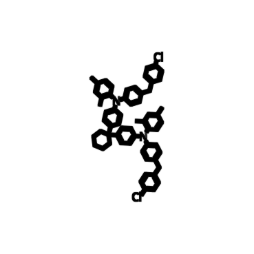 Cc1ccc(N(c2ccc(Cc3ccc(Cl)cc3)cc2)c2ccc(C3(c4ccc(N(c5ccc(Cc6ccc(Cl)cc6)cc5)c5ccc(C)cc5C)cc4)CCCCC3)cc2)c(C)c1